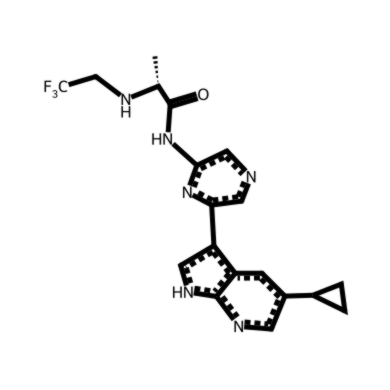 C[C@@H](NCC(F)(F)F)C(=O)Nc1cncc(-c2c[nH]c3ncc(C4CC4)cc23)n1